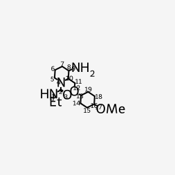 CCNC(=O)N1CCCC(N)C1COC1CCC(OC)CC1